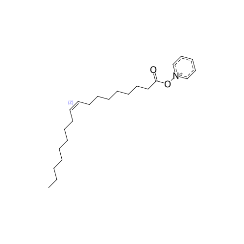 CCCCCCCC/C=C\CCCCCCCC(=O)O[n+]1ccccc1